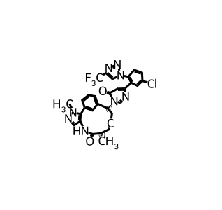 C[C@@H]1CCC[C@H](n2cnc(-c3cc(Cl)ccc3-n3cc(C(F)(F)F)nn3)cc2=O)c2cccc(c2)-c2c(cnn2C)NC1=O